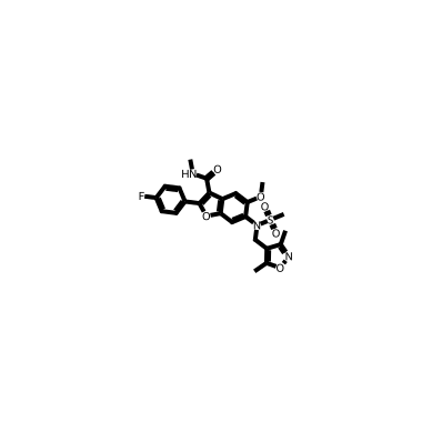 CNC(=O)c1c(-c2ccc(F)cc2)oc2cc(N(Cc3c(C)noc3C)S(C)(=O)=O)c(OC)cc12